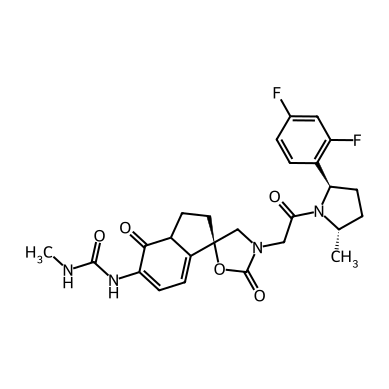 CNC(=O)NC1=CC=C2C(CC[C@]23CN(CC(=O)N2[C@@H](c4ccc(F)cc4F)CC[C@@H]2C)C(=O)O3)C1=O